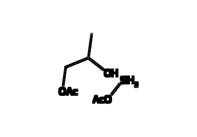 CC(=O)OCC(C)O.CC(=O)O[SiH3]